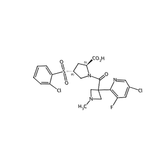 CN1CC(C(=O)N2C[C@H](S(=O)(=O)c3ccccc3Cl)C[C@H]2C(=O)O)(c2ncc(Cl)cc2F)C1